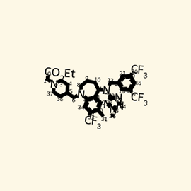 CCOC(=O)CN1CCC(CN2CCCC(N(Cc3cc(C(F)(F)F)cc(C(F)(F)F)c3)c3nnn(C)n3)c3cc(C)c(C(F)(F)F)cc32)CC1